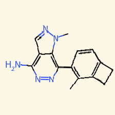 Cc1c(-c2nnc(N)c3cnn(C)c23)ccc2c1CC2